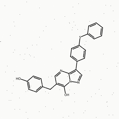 Oc1ccc(Cc2cnc3c(-c4ccc(Sc5ccccc5)cc4)cnn3c2O)cc1